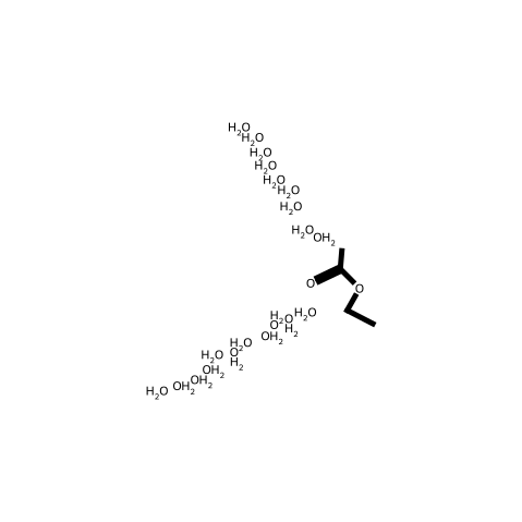 CCOC(C)=O.O.O.O.O.O.O.O.O.O.O.O.O.O.O.O.O.O.O.O.O